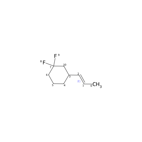 C/C=C/C1CCCC(F)(F)C1